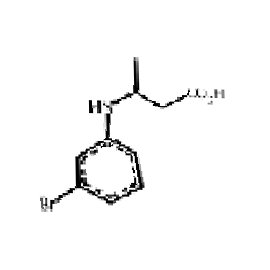 CC(CC(=O)O)Nc1cccc(Br)c1